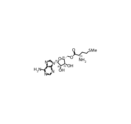 CSCC[C@H](N)C(=O)OC[C@H]1O[C@@H](n2cnc3c(N)ncnc32)[C@H](O)[C@@H]1O